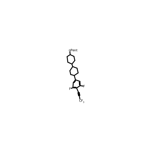 CCCCCC1CCC(C2CCC(c3cc(F)c(C#CC(F)(F)F)c(F)c3)CC2)CC1